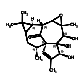 CC1=C[C@]23C(=O)[C@@H](C4OC4(C)[C@@H](O)[C@]2(O)[C@H]1O)[C@H]1C(C[C@H]3C)C1(C)C